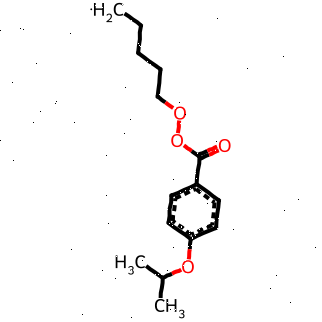 [CH2]CCCCOOC(=O)c1ccc(OC(C)C)cc1